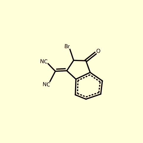 N#CC(C#N)=C1c2ccccc2C(=O)C1Br